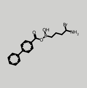 NC(Br)CCCB(O)OC(=O)c1ccc(-c2ccccc2)cc1